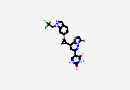 O=c1[nH]cc(-c2cc(C3C[C@H]3c3ccc4cnn(CC(F)(F)F)c4c3)c3ncc(F)n3n2)c(=O)[nH]1